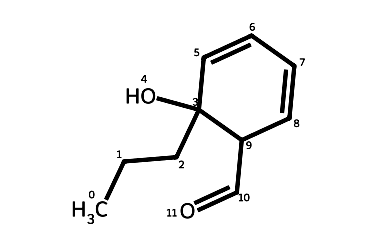 CCCC1(O)C=CC=CC1C=O